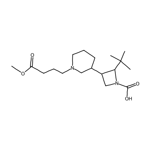 COC(=O)CCCN1CCCC(C2CN(C(=O)O)C2C(C)(C)C)C1